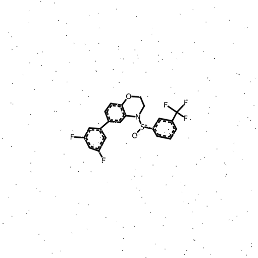 [O-][S+](c1cccc(C(F)(F)F)c1)N1CCOc2ccc(-c3cc(F)cc(F)c3)cc21